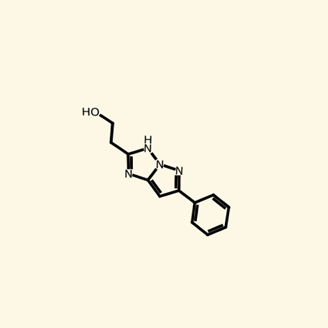 OCCc1nc2cc(-c3ccccc3)nn2[nH]1